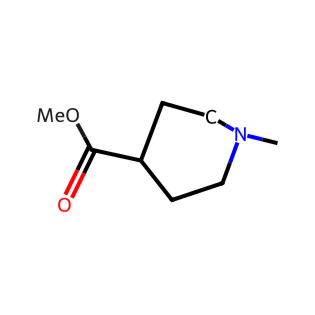 COC(=O)C1CCN(C)CC1